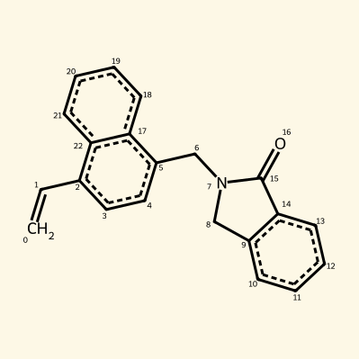 C=Cc1ccc(CN2Cc3ccccc3C2=O)c2ccccc12